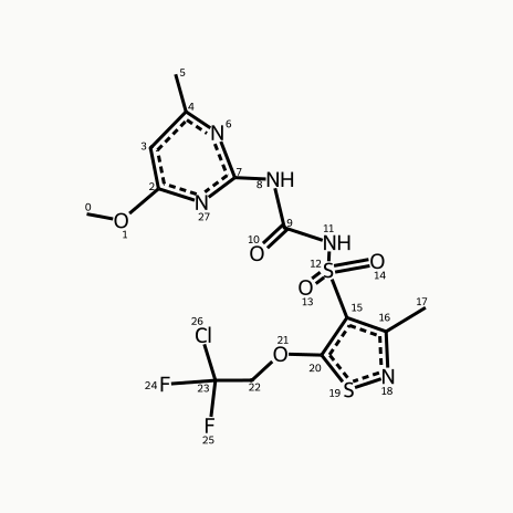 COc1cc(C)nc(NC(=O)NS(=O)(=O)c2c(C)nsc2OCC(F)(F)Cl)n1